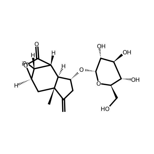 C=C1C[C@@H](O[C@H]2O[C@H](CO)[C@@H](O)[C@H](O)[C@H]2O)[C@@H]2[C@H]3C(=O)O[C@H](C[C@@]12C)[C@@H]3C(C)C